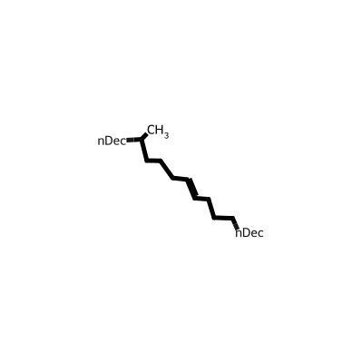 [CH2]CCCCCCCCCCCC/C=C/CCCC(C)CCCCCCCCC[CH2]